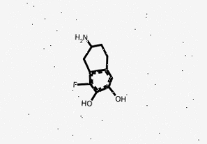 NC1CCc2cc(O)c(O)c(F)c2C1